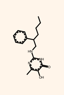 CCCCC(CNc1nc(C)c(O)c(=O)[nH]1)c1ccccc1